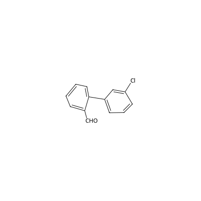 O=Cc1ccccc1-c1cccc(Cl)c1